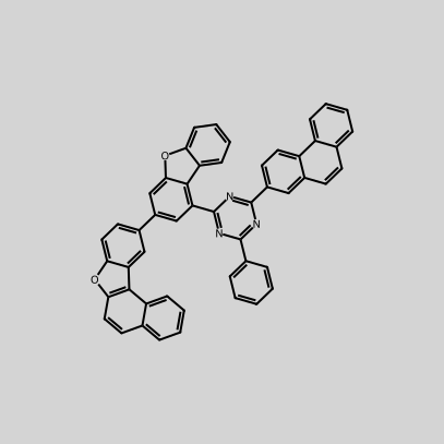 c1ccc(-c2nc(-c3ccc4c(ccc5ccccc54)c3)nc(-c3cc(-c4ccc5oc6ccc7ccccc7c6c5c4)cc4oc5ccccc5c34)n2)cc1